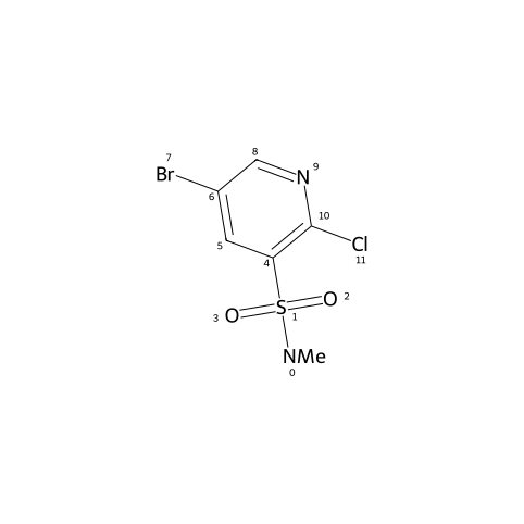 CNS(=O)(=O)c1cc(Br)cnc1Cl